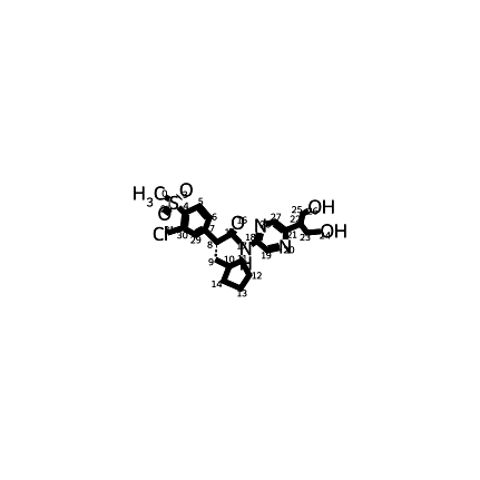 CS(=O)(=O)c1ccc([C@@H](CC2CCCC2)C(=O)Nc2cnc(C(CO)CO)cn2)cc1Cl